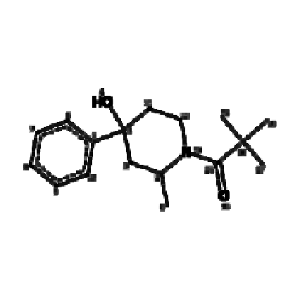 CC1CC(O)(c2ccccc2)CCN1C(=O)C(C)(C)C